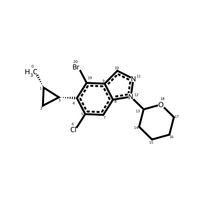 C[C@H]1C[C@H]1c1c(Cl)cc2c(cnn2C2CCCCO2)c1Br